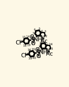 CC(=O)N1CCc2cccc(NS(=O)(=O)c3ccc(Cl)cc3)c21.CC(=O)N1CCc2cccc(NS(=O)(=O)c3ccc(Cl)cc3)c21